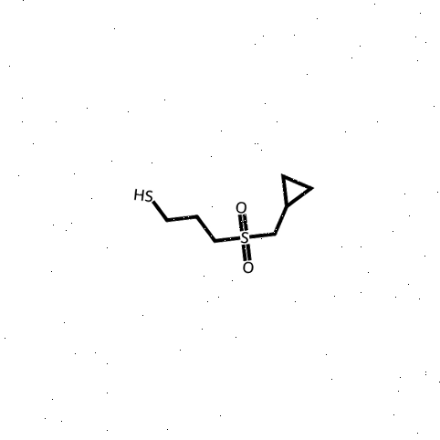 O=S(=O)(CCCS)CC1CC1